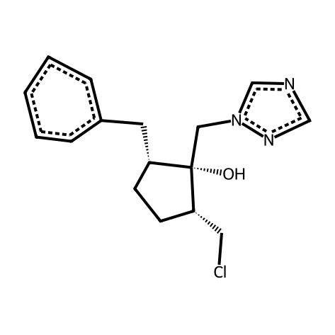 O[C@]1(Cn2cncn2)[C@H](CCl)CC[C@@H]1Cc1ccccc1